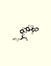 CCO/C(=C/C(=O)O)COc1ccccc1Oc1cc(-c2c(Cl)n3n(c2=O)CCCC3)c(F)cc1Cl